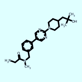 CN(Cc1cccc(-c2cnc(N3CCC(CC(C)(C)O)CC3)nc2)c1)C(=O)CN